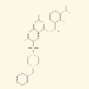 Cc1nc(N[C@H](C)c2cccc(C(F)F)c2F)c2cc(S(=O)(=O)N3CCN(Cc4ccccc4)CC3)c(C)nc2n1